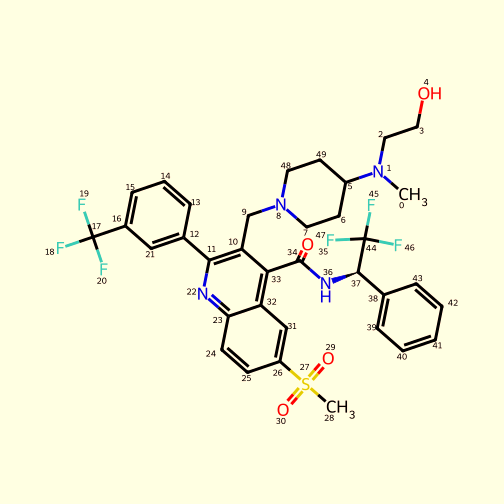 CN(CCO)C1CCN(Cc2c(-c3cccc(C(F)(F)F)c3)nc3ccc(S(C)(=O)=O)cc3c2C(=O)N[C@H](c2ccccc2)C(F)(F)F)CC1